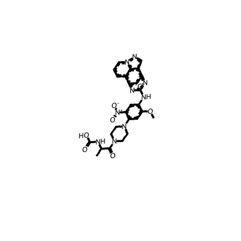 COc1cc(N2CCN(C(=O)C(C)NC(=O)O)CC2)c([N+](=O)[O-])cc1Nc1nc2c(Cl)c(n1)c1cnn3cccc2c13